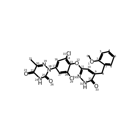 COc1ccccc1Cc1cc(Oc2c(Cl)cc(-n3nc(C)c(=O)[nH]c3=O)cc2Cl)n[nH]c1=O